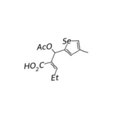 CCC=C(C(=O)O)C(OC(C)=O)c1cc(C)c[se]1